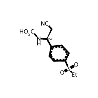 CCS(=O)(=O)c1ccc([C@H](CC#N)NC(=O)O)cc1